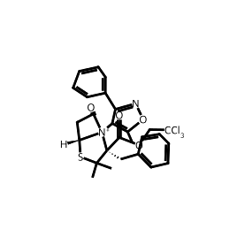 Cc1onc(-c2ccccc2)c1[N+]12C(=O)C[C@H]1SC(C)(C)[C@]2(Cc1ccccc1)C(=O)OCC(Cl)(Cl)Cl